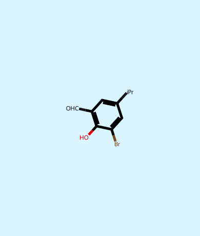 CC(C)c1cc(Br)c(O)c(C=O)c1